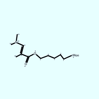 CCCCCCCCCCCCCCOC(=O)C(C)=CN(C)C